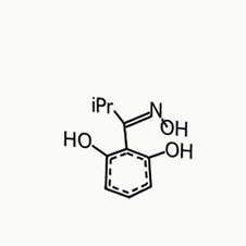 CC(C)/C(=N/O)c1c(O)cccc1O